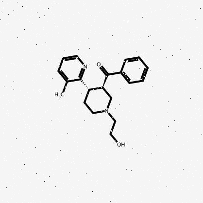 Cc1cccnc1[C@H]1[CH]CN(CCO)C[C@@H]1C(=O)c1ccccc1